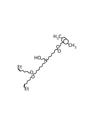 CC/C=C\CCCCOC(CCCCCCCN(CCO)CCCCCCC(=O)OCCC12CC(C)CC(CC(C)C1)C2)OCCCC/C=C\CC